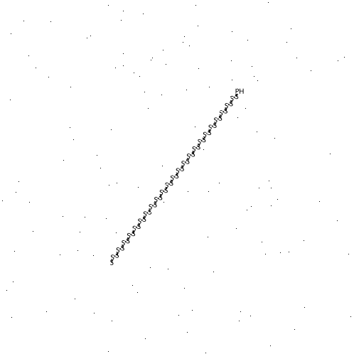 P=S=S=S=S=S=S=S=S=S=S=S=S=S=S=S=S=S=S=S=S=S=S=S=S=S=S=S=S=S=S=S=S=S=S=S=S=S=S=S=S=S=S=S=S=S=S=S